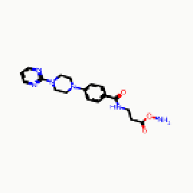 NOC(=O)CCNC(=O)c1ccc(N2CCN(c3ncccn3)CC2)cc1